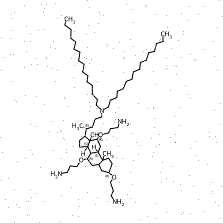 CCCCCCCCCCCCCCCCN(CCCCCCCCCCCCCCCC)CCC[C@@H](C)C1CC[C@H]2C3[C@H](OCCCN)CC4C[C@H](OCCCN)CCC4(C)[C@H]3C[C@H](OCCCN)C12C